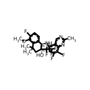 COc1c(F)ccc2c1C(C)(C)C[C@](O)(C(F)(F)C(F)(F)F)[C@@H]2Nc1cc(F)c(F)c2nc(C)ncc12